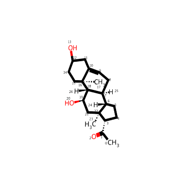 CC(=O)[C@H]1CC[C@H]2[C@@H]3CC=C4CC(O)CC[C@]4(C)[C@H]3[C@H](O)C[C@]12C